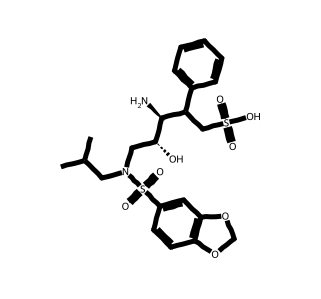 CC(C)CN(C[C@@H](O)[C@@H](N)C(CS(=O)(=O)O)c1ccccc1)S(=O)(=O)c1ccc2c(c1)OCO2